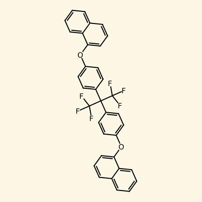 FC(F)(F)C(c1ccc(Oc2cccc3ccccc23)cc1)(c1ccc(Oc2cccc3ccccc23)cc1)C(F)(F)F